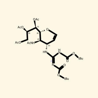 CC(=O)N[C@H]1[C@H]([C@H](OC(C)=O)[C@@H](COC(C)=O)OC(C)=O)OC=C[C@@H]1N/C(=N/C(=O)OC(C)(C)C)NC(=O)OC(C)(C)C